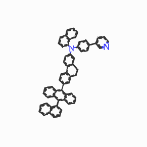 c1cncc(-c2ccc(N(c3ccc4c(c3)CCc3cc(-c5c6ccccc6c(-c6cccc7ccccc67)c6ccccc56)ccc3-4)c3cccc4ccccc34)cc2)c1